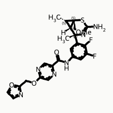 COC[C@@]12SC(N)=N[C@](C)(c3cc(NC(=O)c4cnc(OCc5ncco5)cn4)cc(F)c3F)[C@@H]1[C@@H]2C